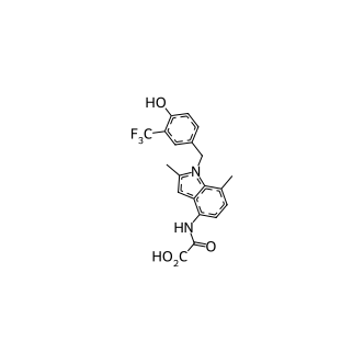 Cc1ccc(NC(=O)C(=O)O)c2cc(C)n(Cc3ccc(O)c(C(F)(F)F)c3)c12